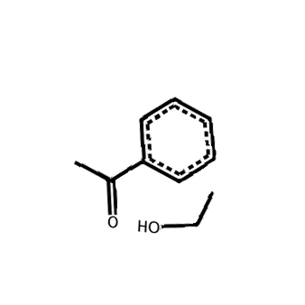 CC(=O)c1ccccc1.CCO